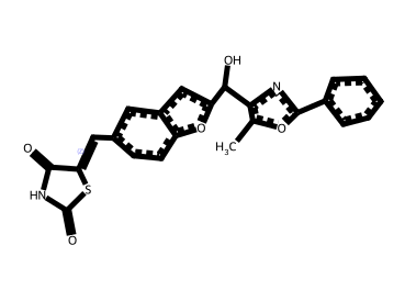 Cc1oc(-c2ccccc2)nc1C(O)c1cc2cc(/C=C3\SC(=O)NC3=O)ccc2o1